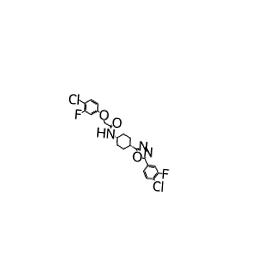 O=C(COc1ccc(Cl)c(F)c1)N[C@H]1CC[C@H](c2nnc(-c3ccc(Cl)c(F)c3)o2)CC1